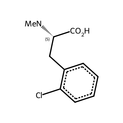 CN[C@@H](Cc1ccccc1Cl)C(=O)O